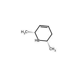 C[C@@H]1B[C@H](C)C=CC1